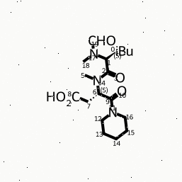 CC[C@H](C)C(C(=O)N(C)[C@@H](CC(=O)O)C(=O)N1CCCCC1)N(C)C=O